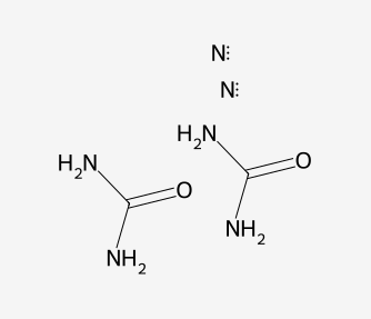 NC(N)=O.NC(N)=O.[N].[N]